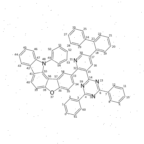 c1ccc(-c2nc(-c3ccccc3)nc(-c3cc(-c4ccccc4-c4ccccc4)cnc3-c3ccc4oc5ccc6c7ccccc7n(-c7ccccc7)c6c5c4c3)n2)cc1